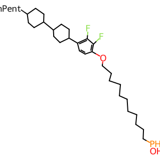 CCCCCC1CCC(C2CCC(c3ccc(OCCCCCCCCCCCPO)c(F)c3F)CC2)CC1